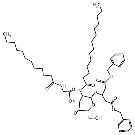 CCCCCCCCCCCCCC(=O)N[C@H]1[C@@H](OC(CC(=O)OCc2ccccc2)CC(=O)OCc2ccccc2)O[C@H](CO)[C@@H](O)[C@@H]1OC(=O)CNC(=O)CCCCCCCCCCC